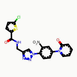 O=C(NCc1cn(-c2ccc(-n3ccccc3=O)cc2[N+](=O)[O-])nn1)c1ccc(Cl)s1